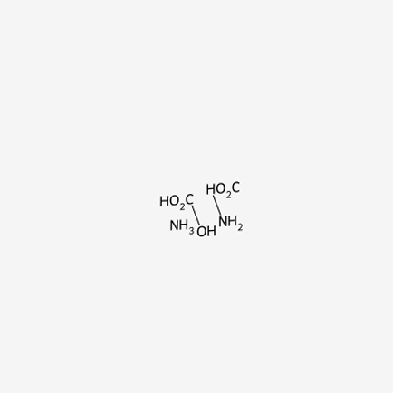 N.NC(=O)O.O=C(O)O